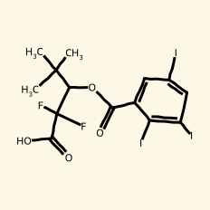 CC(C)(C)C(OC(=O)c1cc(I)cc(I)c1I)C(F)(F)C(=O)O